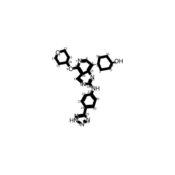 O[C@H]1CC[C@H](c2cnc(OC3CCOCC3)c3cnc(Nc4ccc(-c5nn[nH]n5)cc4)nc32)CC1